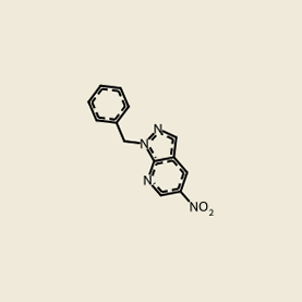 O=[N+]([O-])c1cnc2c(cnn2Cc2ccccc2)c1